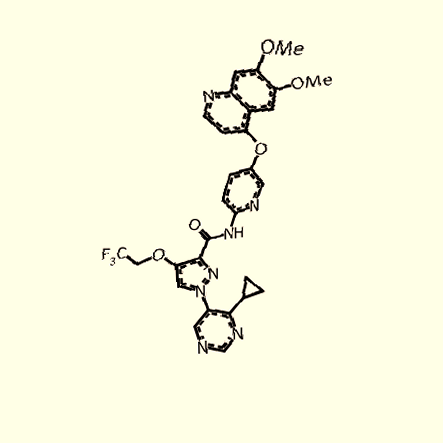 COc1cc2nccc(Oc3ccc(NC(=O)c4nn(-c5cncnc5C5CC5)cc4OCC(F)(F)F)nc3)c2cc1OC